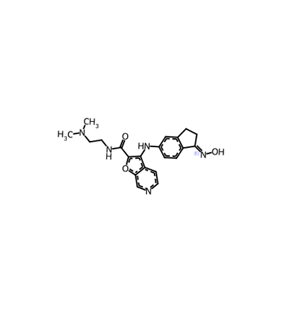 CN(C)CCNC(=O)c1oc2cnccc2c1Nc1ccc2c(c1)CC/C2=N\O